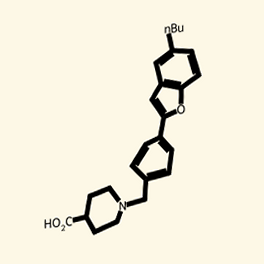 CCCCc1ccc2oc(-c3ccc(CN4CCC(C(=O)O)CC4)cc3)cc2c1